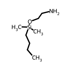 CCCC[Si](C)(C)OCCN